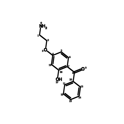 NCCOc1ccc(C(=O)c2ccccc2)c(O)c1